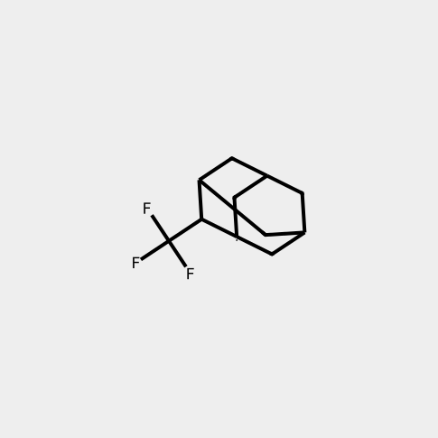 FC(F)(F)C1[C]2CC3CC(C2)CC1C3